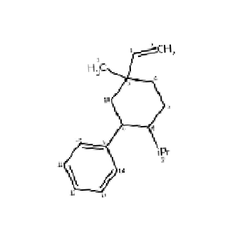 C=CC1(C)CCC(C(C)C)C(c2ccccc2)C1